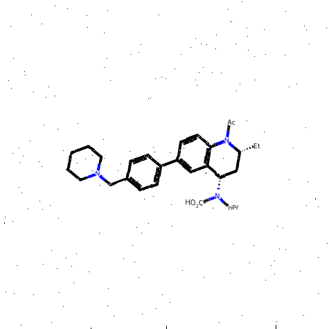 CCCN(C(=O)O)[C@H]1C[C@@H](CC)N(C(C)=O)c2ccc(-c3ccc(CN4CCCCC4)cc3)cc21